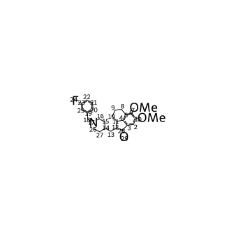 COc1cc2c3c(c1OC)CCCC3C(CC1CCN(Cc3cccc(F)c3)CC1)C2=O